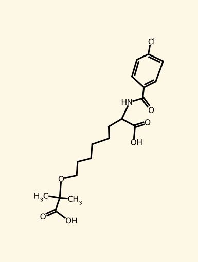 CC(C)(OCCCCCCC(NC(=O)c1ccc(Cl)cc1)C(=O)O)C(=O)O